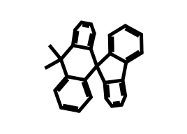 CC1(C)c2ccccc2C2(c3ccccc3-c3ccccc32)c2ccccc21